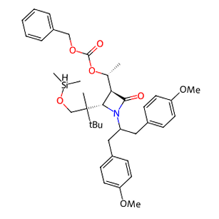 COc1ccc(CC(Cc2ccc(OC)cc2)N2C(=O)[C@H]([C@@H](C)OC(=O)OCc3ccccc3)[C@H]2C(C)(CO[SiH](C)C)C(C)(C)C)cc1